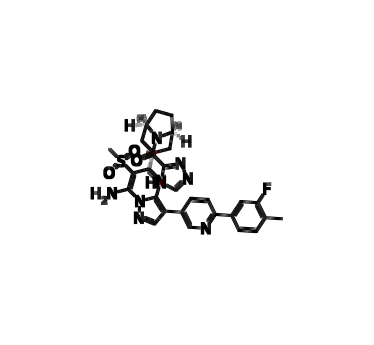 Cc1ccc(-c2ccc(-c3cnn4c(N)c(S(C)(=O)=O)c([C@@H]5C[C@H]6CC[C@@H](C5)N6C(=O)c5nnc[nH]5)nc34)cn2)cc1F